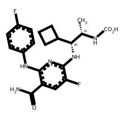 C[C@H](NC(=O)O)[C@H](Nc1nc(Nc2ccc(F)cc2)c(C(N)=O)cc1F)C1CCC1